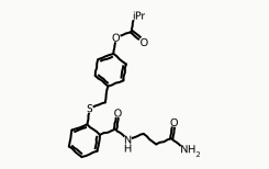 CC(C)C(=O)Oc1ccc(CSc2ccccc2C(=O)NCCC(N)=O)cc1